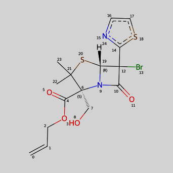 C=CCOC(=O)[C@]1(CO)N2C(=O)C(Br)(c3nccs3)[C@H]2SC1(C)C